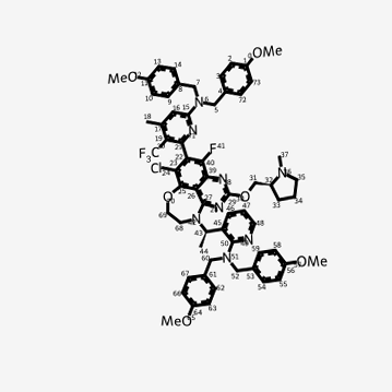 COc1ccc(CN(Cc2ccc(OC)cc2)c2cc(C)c(C(F)(F)F)c(-c3c(Cl)c4c5c(nc(OC[C@@H]6CCCN6C)nc5c3F)N([C@H](C)c3cccnc3N(Cc3ccc(OC)cc3)Cc3ccc(OC)cc3)CCO4)n2)cc1